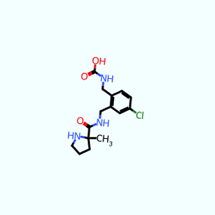 CC1(C(=O)NCc2cc(Cl)ccc2CNC(=O)O)CCCN1